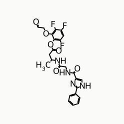 CC(CC(=O)Oc1c(F)cc(F)c(F)c1OCC=O)NC(=O)CNC(=O)c1c[nH]c(-c2ccccc2)n1